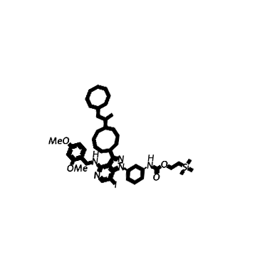 COc1ccc(CNc2ncc(I)c3c2c(C2CCCCC(C(C)CC4CCCCCCC4)CCC2)nn3[C@@H]2CCC[C@@H](NC(=O)OCC[Si](C)(C)C)C2)c(OC)c1